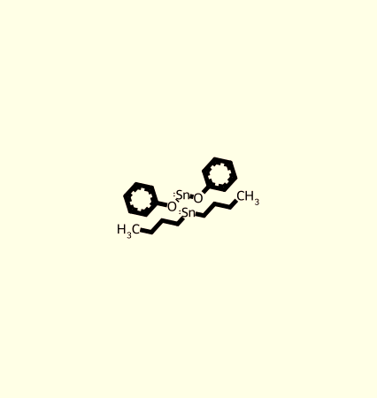 CCC[CH2][Sn][CH2]CCC.c1ccc([O][Sn][O]c2ccccc2)cc1